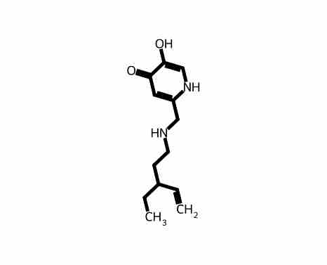 C=CC(CC)CCNCc1cc(=O)c(O)c[nH]1